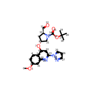 COc1ccc2c(O[C@@H]3C[C@@H](C=O)N(C(=O)OC(C)(C)C)C3)cc(-n3cccn3)nc2c1